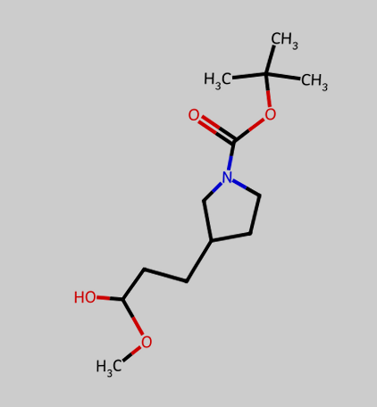 COC(O)CCC1CCN(C(=O)OC(C)(C)C)C1